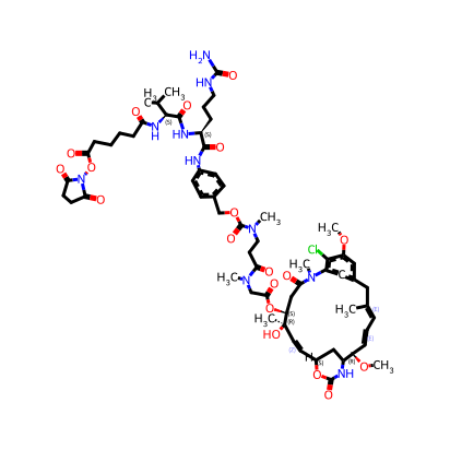 COc1cc2cc(c1Cl)N(C)C(=O)C[C@H](OC(=O)CN(C)C(=O)CCN(C)C(=O)OCc1ccc(NC(=O)[C@H](CCCNC(N)=O)NC(=O)[C@@H](NC(=O)CCCCC(=O)ON3C(=O)CCC3=O)C(C)C)cc1)[C@](C)(O)/C=C\[C@@H]1CC(NC(=O)O1)[C@H](OC)/C=C/C=C(\C)C2